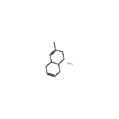 CC1=CC2CC=CCC2CC1.[CH2]